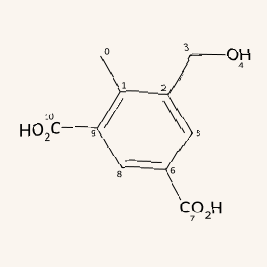 Cc1c(CO)cc(C(=O)O)cc1C(=O)O